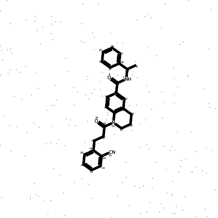 CC(NC(=O)c1ccc2c(c1)CCCN2C(=O)CCc1ccccc1C#N)c1ccccc1